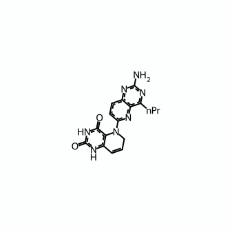 CCCc1nc(N)nc2ccc(N3CC=Cc4[nH]c(=O)[nH]c(=O)c43)nc12